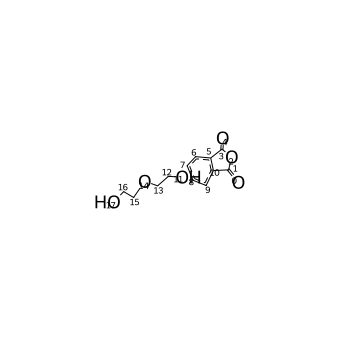 O=C1OC(=O)c2ccccc21.OCCOCCO